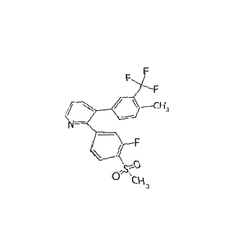 Cc1ccc(-c2cccnc2-c2ccc(S(C)(=O)=O)c(F)c2)cc1C(F)(F)F